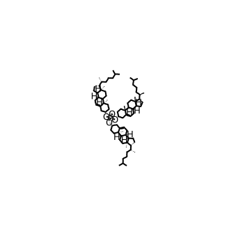 CC(C)CCC[C@@H](C)[C@H]1CC[C@H]2[C@@H]3CC=C4C[C@@H](OP(=O)(O[C@H]5CC[C@@]6(C)C(=CC[C@H]7[C@@H]8CC[C@H]([C@H](C)CCCC(C)C)[C@@]8(C)CC[C@@H]76)C5)O[C@H]5CC[C@@]6(C)C(=CC[C@H]7[C@@H]8CC[C@H]([C@H](C)CCCC(C)C)[C@@]8(C)CC[C@@H]76)C5)CC[C@]4(C)[C@H]3CC[C@]12C